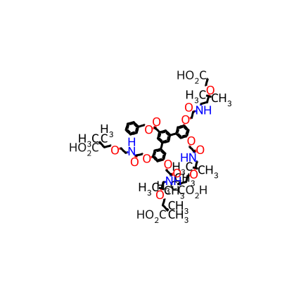 CC(C)(CCNC(=O)COc1cc(OCC(=O)NCC(C)(C)OCCC(C)(C)C(=O)O)cc(-c2cc(C(=O)OCc3ccccc3)cc(-c3cc(OCC(=O)NCCOCCC(C)(C)C(=O)O)cc(OCC(=O)NCC(C)(C)OCCC(C)(C)C(=O)O)c3)c2)c1)OCCC(=O)O